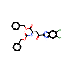 O=C(N[C@H](CC(=O)c1nc2cc(Cl)c(Cl)cc2[nH]1)C(=O)OCc1ccccc1)OCc1ccccc1